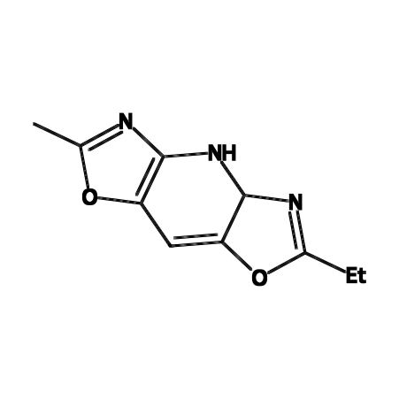 CCC1=NC2Nc3nc(C)oc3C=C2O1